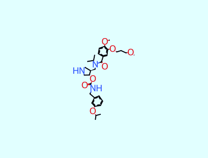 COCCCOc1cc(C(=O)N(C[C@@H]2CNC[C@H]2OC(=O)NCc2cccc(OC(C)C)c2)C(C)C)ccc1OC